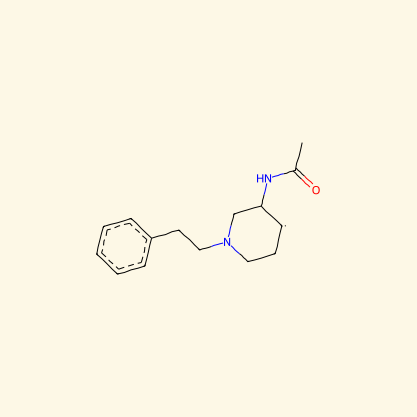 CC(=O)NC1[CH]CCN(CCc2ccccc2)C1